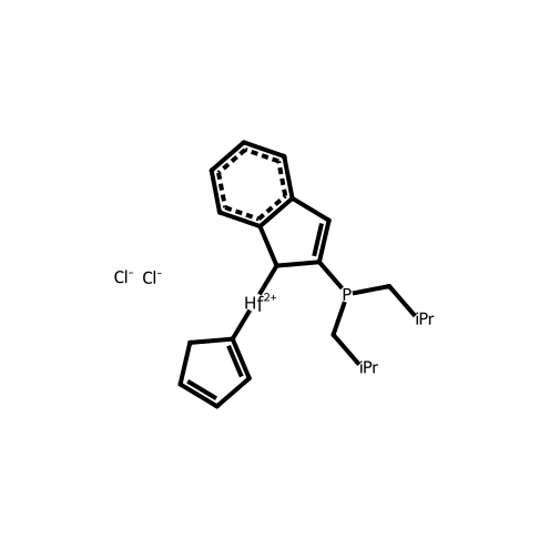 CC(C)CP(CC(C)C)C1=Cc2ccccc2[CH]1[Hf+2][C]1=CC=CC1.[Cl-].[Cl-]